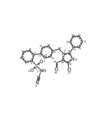 N#CNS(=O)(=O)c1ccccc1-c1ccc(Cn2c(-c3ccccc3)nc(Cl)c2C=O)cc1